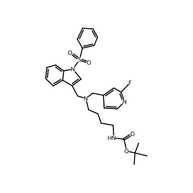 CC(C)(C)OC(=O)NCCCCN(Cc1ccnc(F)c1)Cc1cn(S(=O)(=O)c2ccccc2)c2ccccc12